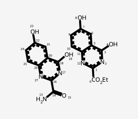 CCOC(=O)c1nc(O)c2cc(O)ccc2n1.NC(=O)c1nc(O)c2cc(O)ccc2n1